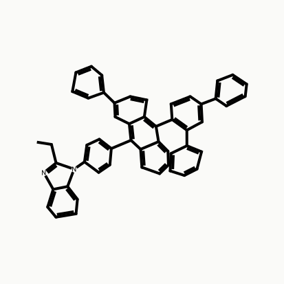 CCc1nc2ccccc2n1-c1ccc(-c2c3ccccc3c(-c3ccc(-c4ccccc4)cc3-c3ccccc3)c3ccc(-c4ccccc4)cc23)cc1